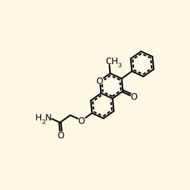 Cc1oc2cc(OCC(N)=O)ccc2c(=O)c1-c1ccccc1